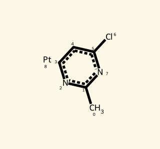 Cc1nccc(Cl)n1.[Pt]